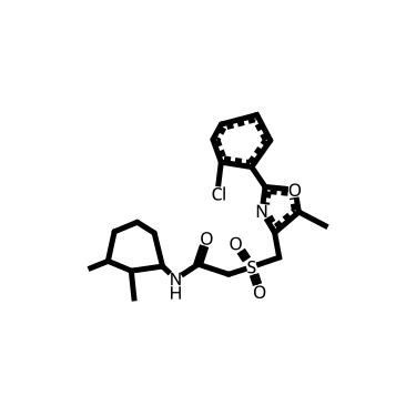 Cc1oc(-c2ccccc2Cl)nc1CS(=O)(=O)CC(=O)NC1CCCC(C)C1C